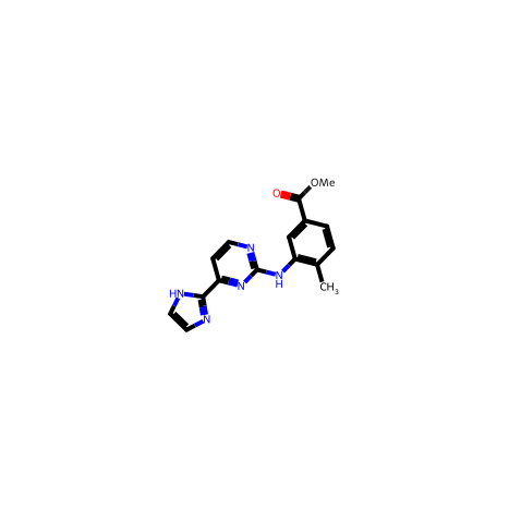 COC(=O)c1ccc(C)c(Nc2nccc(-c3ncc[nH]3)n2)c1